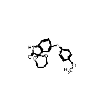 COc1ccc(Sc2ccc3c(c2)C2(OCCCO2)C(=O)N3)cc1